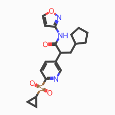 O=C(Nc1ccon1)C(CC1CCCC1)c1ccc(S(=O)(=O)C2CC2)nc1